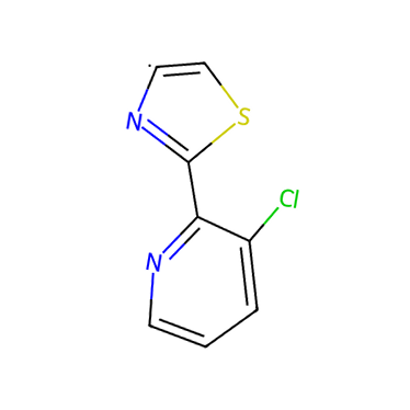 Clc1cccnc1-c1n[c]cs1